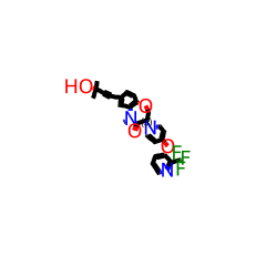 CN1C(=O)[C@@H](N2C=CC(Oc3cccnc3C(F)(F)F)=CC2)COc2ccc(C#CC(C)(C)O)cc21